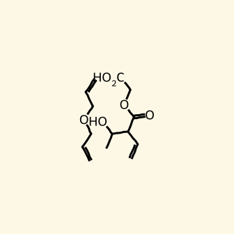 C=CC(C(=O)OCC(=O)O)C(C)O.C=CCOCC=C